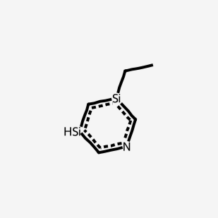 CC[si]1cnc[siH]c1